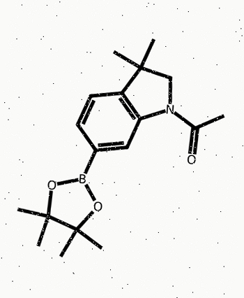 CC(=O)N1CC(C)(C)c2ccc(B3OC(C)(C)C(C)(C)O3)cc21